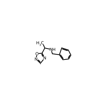 CC(NCc1ccccc1)c1n[c]no1